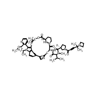 CCn1c(-c2cccnc2[C@H](C)OC)c2c3cc(ccc31)-c1cnc(o1)C[C@H](NC(=O)C(C(C)C)N(C)C(=O)[C@@]1(F)CCN(C(=O)C#CC(C)(C)N3CCC3)C1)C(=O)N1CCC[C@H](N1)C(=O)OCC(C)(C)C2